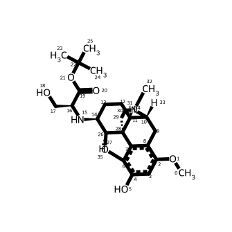 COc1cc(O)c2c3c1C[C@@H]1[C@@H]4CC[C@H](N[C@@H](CO)C(=O)OC(C)(C)C)[C@H](O2)[C@]34CCN1C